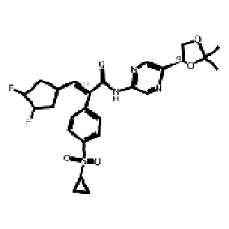 CC1(C)OC[C@H](c2cnc(NC(=O)/C(=C/C3CC(F)C(F)C3)c3ccc(S(=O)(=O)C4CC4)cc3)cn2)O1